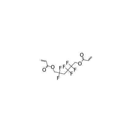 C=CC(=O)OCC(F)(F)CC(F)(F)C(F)(F)COC(=O)C=C